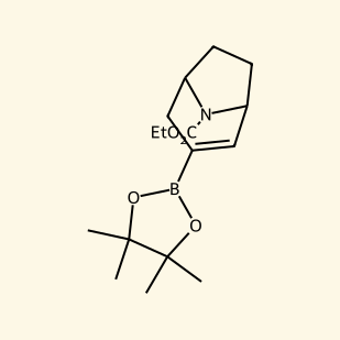 CCOC(=O)N1C2C=C(B3OC(C)(C)C(C)(C)O3)CC1CC2